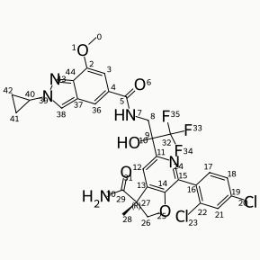 COc1cc(C(=O)NCC(O)(c2cc3c(c(-c4ccc(Cl)cc4Cl)n2)OC[C@]3(C)C(N)=O)C(F)(F)F)cc2cn(C3CC3)nc12